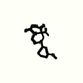 CNC1(C(C)=O)CN(c2cccc(OC)c2)CCN1C(=O)O